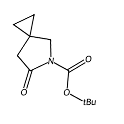 CC(C)(C)OC(=O)N1CC2(CC2)CC1=O